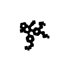 COc1ccc([C@H]2C[C@@H]3CCCN3C(C#N)=C2c2ccc(OC)c(OC)c2)cc1